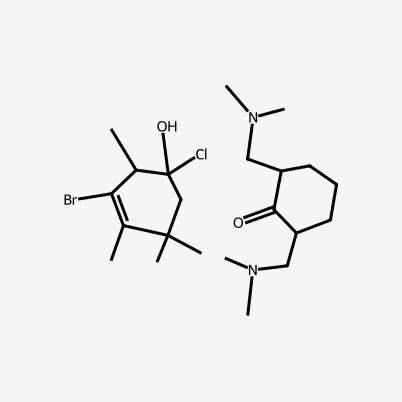 CC1=C(Br)C(C)C(O)(Cl)CC1(C)C.CN(C)CC1CCCC(CN(C)C)C1=O